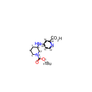 CC(C)(C)OC(=O)N1CCCC(Nc2ccnc(C(=O)O)c2)C1